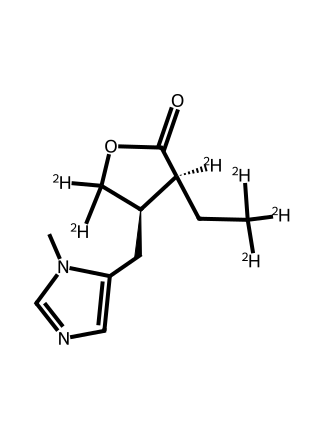 [2H]C([2H])([2H])C[C@]1([2H])C(=O)OC([2H])([2H])[C@@H]1Cc1cncn1C